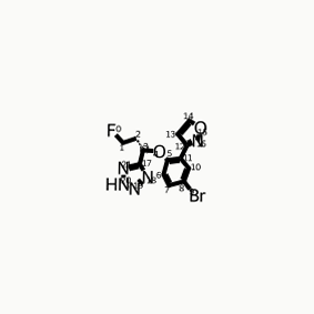 FCC[C@H](Oc1ccc(Br)cc1-c1ccon1)c1nn[nH]n1